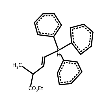 CCOC(=O)C(C)C=C[PH](c1ccccc1)(c1ccccc1)c1ccccc1